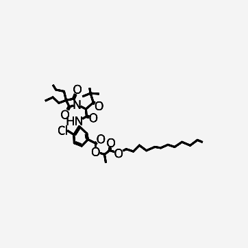 CCCCCCCCCCCCOC(=O)C(C)OC(=O)c1ccc(Cl)c(NC(=O)C(C(=O)C(C)(C)C)N2C(=O)C(CCC)(CCC)C2=O)c1